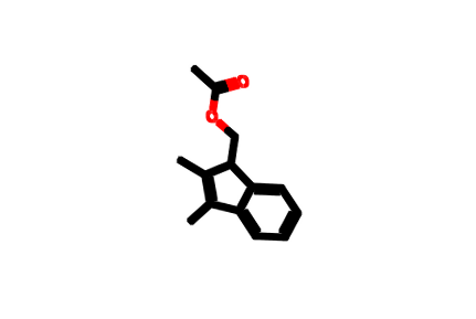 CC(=O)OCC1C(C)=C(C)c2ccccc21